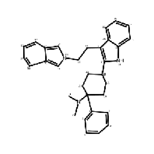 CN(C)C1(c2ccccc2)CCC(c2[nH]c3ccccc3c2CCn2cc3ccccc3c2)CC1